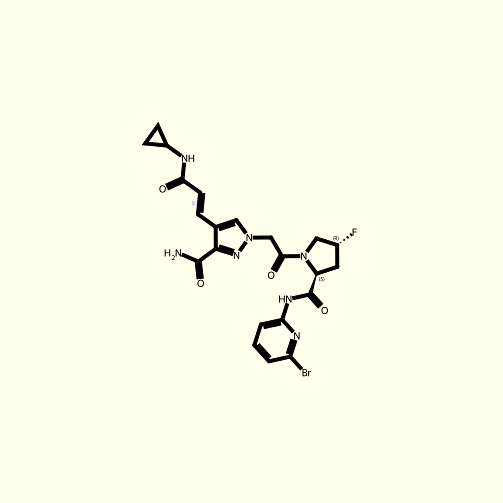 NC(=O)c1nn(CC(=O)N2C[C@H](F)C[C@H]2C(=O)Nc2cccc(Br)n2)cc1/C=C/C(=O)NC1CC1